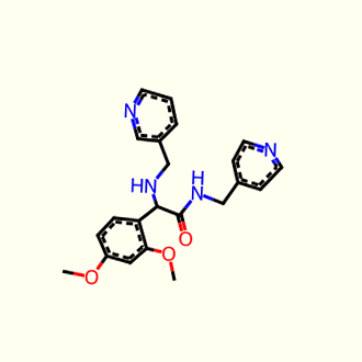 COc1ccc(C(NCc2cccnc2)C(=O)NCc2ccncc2)c(OC)c1